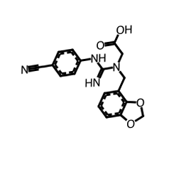 N#Cc1ccc(NC(=N)N(CC(=O)O)Cc2cccc3c2OCO3)cc1